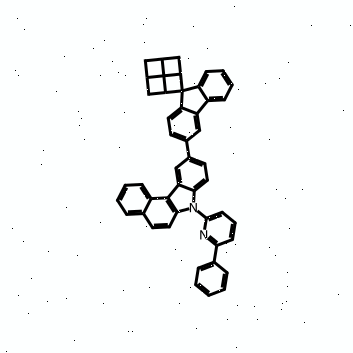 c1ccc(-c2cccc(-n3c4ccc(-c5ccc6c(c5)-c5ccccc5C65C6CC7CC8CC5C786)cc4c4c5ccccc5ccc43)n2)cc1